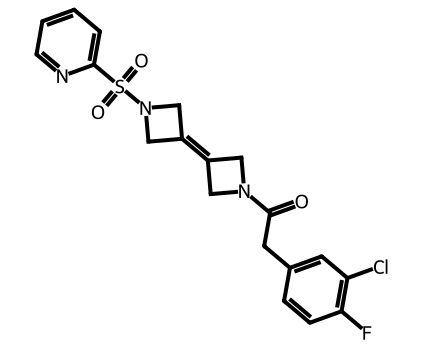 O=C(Cc1ccc(F)c(Cl)c1)N1CC(=C2CN(S(=O)(=O)c3ccccn3)C2)C1